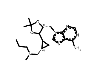 CCCN(C)C[C@H]1CC1C1OC(C)(C)O[C@@H]1Cn1cnc2c(N)ncnc21